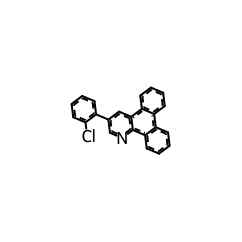 Clc1ccccc1-c1cnc2c3ccccc3c3ccccc3c2c1